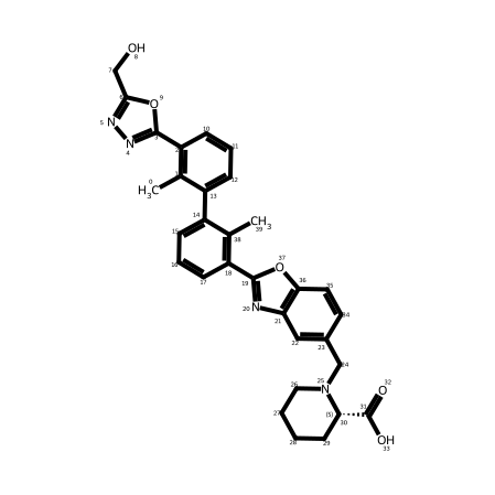 Cc1c(-c2nnc(CO)o2)cccc1-c1cccc(-c2nc3cc(CN4CCCC[C@H]4C(=O)O)ccc3o2)c1C